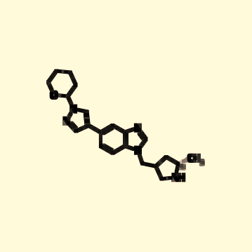 C[C@H]1CC(Cn2cnc3cc(-c4cnn(C5CCCCO5)c4)ccc32)CN1